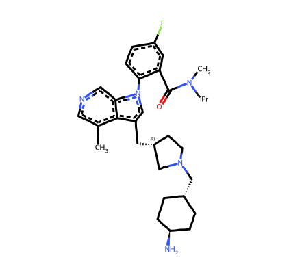 Cc1cncc2c1c(C[C@@H]1CCN(C[C@H]3CC[C@H](N)CC3)C1)cn2-c1ccc(F)cc1C(=O)N(C)C(C)C